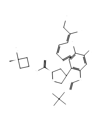 C=C(/C=C\C=C(\F)CF)[C@H]1[C@H](C(=O)N[C@H]2C[C@@](C)(O)C2)N[C@@H](CC(C)(C)C)[C@@]12C(=O)Nc1cc(Cl)c(F)cc12